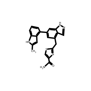 Cc1cc2c(-c3cc(Cc4nc(C(N)=O)cs4)c4cn[nH]c4c3)cccc2[nH]1